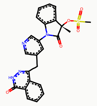 C[C@@]1(OS(C)(=O)=O)C(=O)N(c2cncc(Cc3n[nH]c(=O)c4ccccc34)c2)c2ccccc21